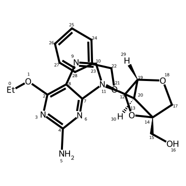 CCOc1nc(N)nc2c1ncn2[C@@H]1O[C@@]2(CO)CO[C@@H]1[C@@H]2OCc1ccccc1